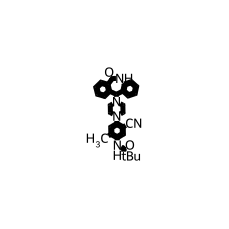 Cc1cc(N2CCN(C3c4ccccc4NC(=O)c4ccccc43)CC2)c(C#N)cc1NC(=O)C(C)(C)C